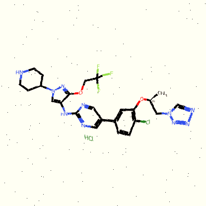 C[C@@H](Cn1cnnn1)Oc1cc(-c2cnc(Nc3cn(C4CCNCC4)nc3OCC(F)(F)F)nc2)ccc1Cl.Cl